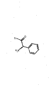 CCC(=O)C(N)c1cc[c]cc1